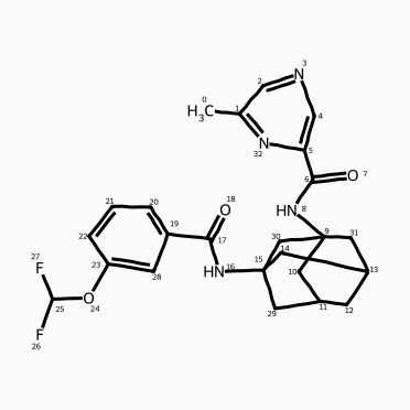 Cc1cncc(C(=O)NC23CC4CC(CC(NC(=O)c5cccc(OC(F)F)c5)(C4)C2)C3)n1